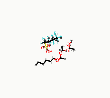 CCCCCCOC(C)OC(C)OC(C)OC.O=S(=O)(O)C(F)(F)C(F)(F)C(F)(F)C(F)(F)F